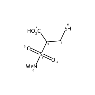 CNS(=O)(=O)C(CS)C(=O)O